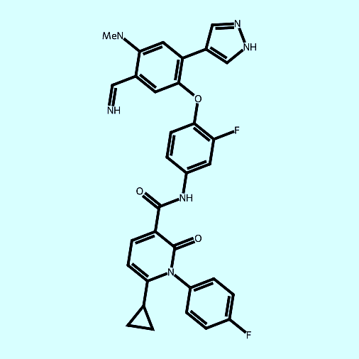 CNc1cc(-c2cn[nH]c2)c(Oc2ccc(NC(=O)c3ccc(C4CC4)n(-c4ccc(F)cc4)c3=O)cc2F)cc1C=N